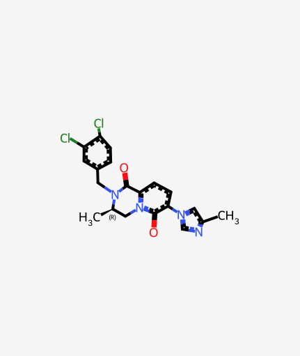 Cc1cn(-c2ccc3n(c2=O)C[C@@H](C)N(Cc2ccc(Cl)c(Cl)c2)C3=O)cn1